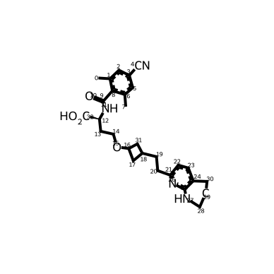 Cc1cc(C#N)cc(C)c1C(=O)N[C@@H](CCOC1CC(CCc2ccc3c(n2)NCCC3)C1)C(=O)O